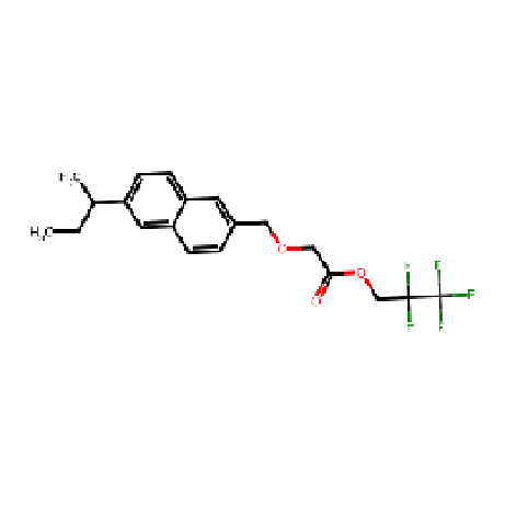 CCC(C)c1ccc2cc(COCC(=O)OCC(F)(F)C(F)(F)F)ccc2c1